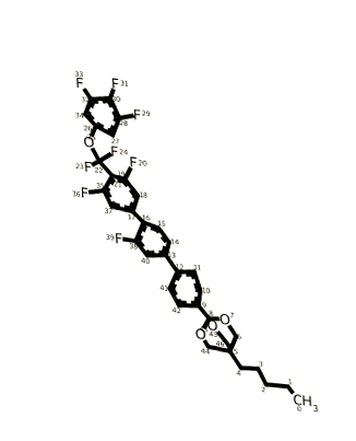 CCCCCC12COC(c3ccc(-c4ccc(-c5cc(F)c(C(F)(F)Oc6cc(F)c(F)c(F)c6)c(F)c5)c(F)c4)cc3)(OC1)OC2